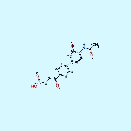 CC(=O)Nc1ccc(-c2ccc(C(=O)CCC(=O)O)cc2)cc1Br